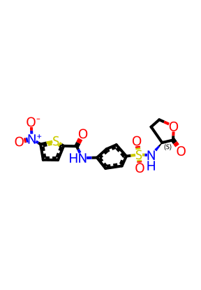 O=C(Nc1ccc(S(=O)(=O)N[C@H]2CCOC2=O)cc1)c1ccc([N+](=O)[O-])s1